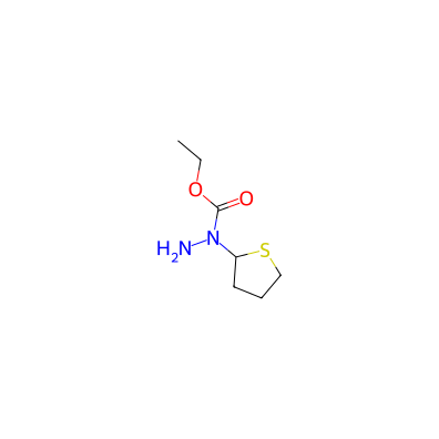 CCOC(=O)N(N)C1CCCS1